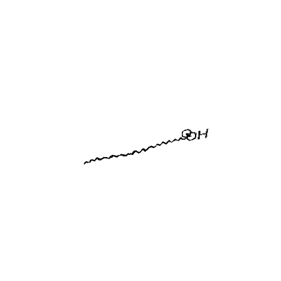 CCC=CCC=CCC=CCC=CCC=CCC=CCCCCCCCCCCCCC(=O)O